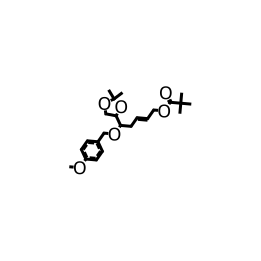 COc1ccc(COC(C/C=C/COC(=O)C(C)(C)C)C2COC(C)(C)O2)cc1